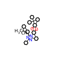 CC1(C)c2ccccc2-c2ccc(-c3nc(-c4ccccc4)nc(-c4ccccc4-c4ccc5c(c4)Oc4cc6c(cc4O5)C(c4ccccc4)(c4ccccc4)c4ccccc4-6)n3)cc21